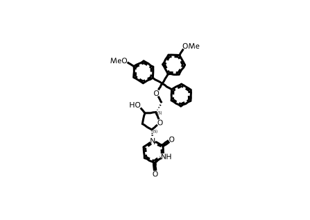 COc1ccc(C(OC[C@@H]2O[C@H](n3ccc(=O)[nH]c3=O)CC2O)(c2ccccc2)c2ccc(OC)cc2)cc1